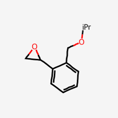 CC(C)OCc1ccccc1C1CO1